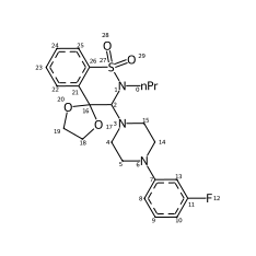 CCCN1C(N2CCN(c3cccc(F)c3)CC2)C2(OCCO2)c2ccccc2S1(=O)=O